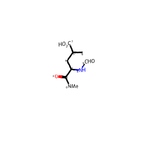 CNC(=O)C(CC(C)C(=O)O)NC=O